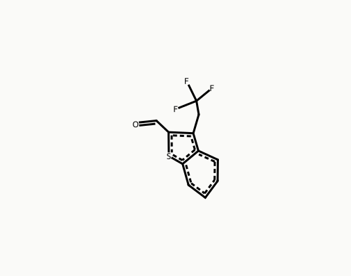 O=Cc1sc2ccccc2c1CC(F)(F)F